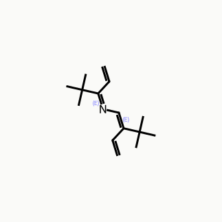 C=C/C(=C\N=C(/C=C)C(C)(C)C)C(C)(C)C